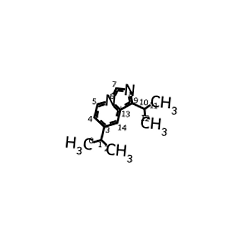 CC(C)c1ccn2cnc(C(C)C)c2c1